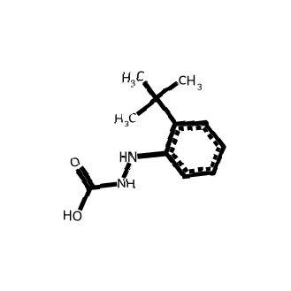 CC(C)(C)c1ccccc1NNC(=O)O